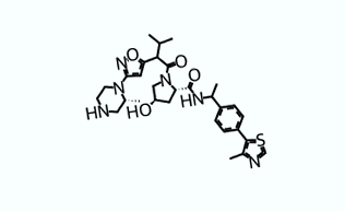 Cc1ncsc1-c1ccc(C(C)NC(=O)[C@@H]2C[C@@H](O)CN2C(=O)C(c2cc(N3CCNC[C@H]3C)no2)C(C)C)cc1